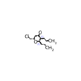 C=C/C=c1/oc(CCl)cc(=O)/c1=C/C=C